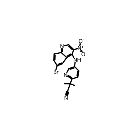 CC(C)(C#N)c1ccc(Nc2c([N+](=O)[O-])cnc3ccc(Br)cc23)cn1